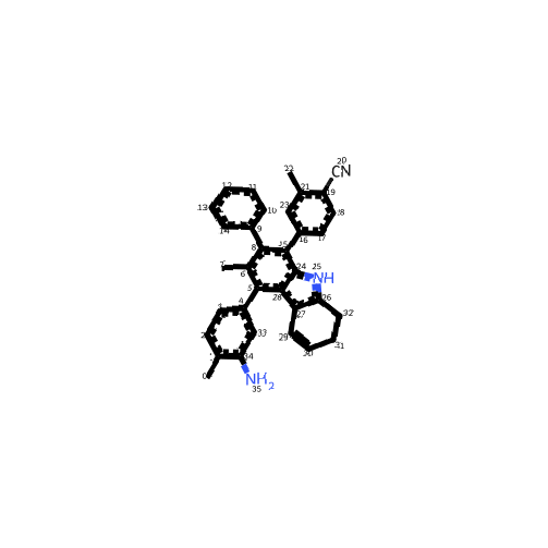 Cc1ccc(-c2c(C)c(-c3ccccc3)c(-c3ccc(C#N)c(C)c3)c3[nH]c4c(c23)C=CCC4)cc1N